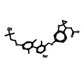 Cc1cc(OCCC(C)(C)O)cc(C)c1-c1cccc(COc2ccc3c(c2)OC2(CC2)C3CC(=O)[O-])c1C.[Na+]